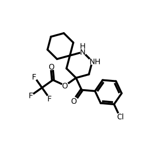 O=C(OC1(C(=O)c2cccc(Cl)c2)CNNC2(CCCCC2)C1)C(F)(F)F